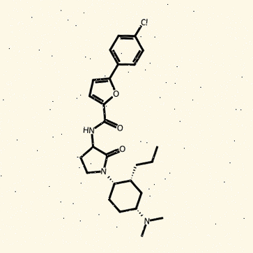 CCC[C@@H]1C[C@H](N(C)C)CC[C@@H]1N1CCC(NC(=O)c2ccc(-c3ccc(Cl)cc3)o2)C1=O